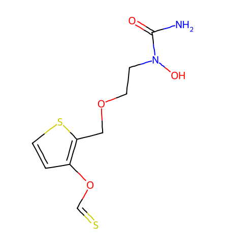 NC(=O)N(O)CCOCc1sccc1OC=S